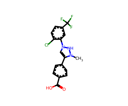 CN1NN(c2cc(C(F)(F)F)ccc2Cl)C=C1c1ccc(C(=O)O)cc1